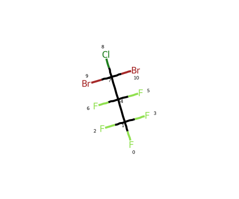 FC(F)(F)C(F)(F)C(Cl)(Br)Br